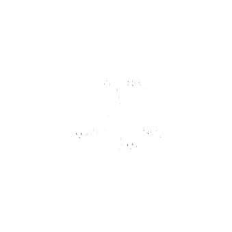 COc1cc(C(N)=O)cc([N+](=O)[O-])c1OC